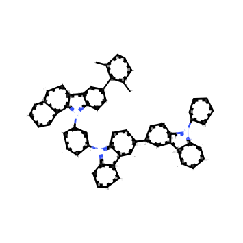 Cc1cccc(C)c1-c1ccc2c(c1)c1ccc3ccccc3c1n2-c1cccc(-n2c3ccccc3c3cc(-c4ccc5c(c4)c4ccccc4n5-c4ccccc4)ccc32)c1